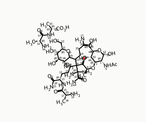 CC(=O)N[C@@H]1[C@@H](OC(C)C(=O)C(C(=O)CC[C@@H](NC(=O)[C@H](C)N)C(N)=O)(C(CCC(N)=O)C2O[C@H](CO)[C@@H](O)[C@H](O)[C@H]2N)C(N)(N)C(N)=O)[C@H](O)[C@@H](CO)O[C@@H]1O.C[C@@H](N)C(=O)N[C@H](C)C(=O)O